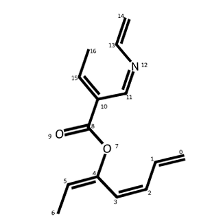 C=C/C=C\C(=C/C)OC(=O)C(/C=N\C=C)=C/C